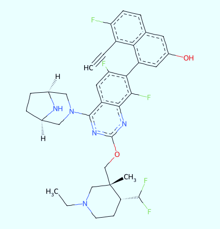 C#Cc1c(F)ccc2cc(O)cc(-c3c(F)cc4c(N5C[C@H]6CC[C@@H](C5)N6)nc(OC[C@@]5(C)CN(CC)CC[C@H]5C(F)F)nc4c3F)c12